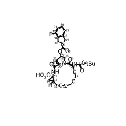 CC(C)(C)OC(=O)N[C@H]1CCCCCCC[C@@H]2C[C@@]2(C(=O)O)NC(=O)[C@@H]2C[C@@H](OC(=O)N3Cc4cccc(F)c4C3)CN2C1=O